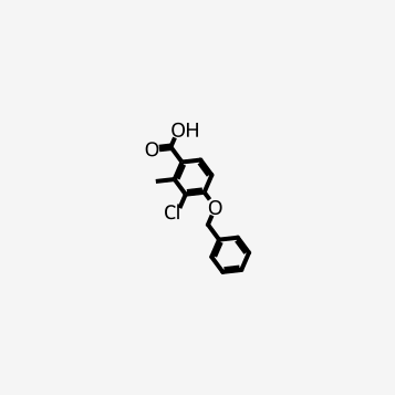 Cc1c(C(=O)O)ccc(OCc2ccccc2)c1Cl